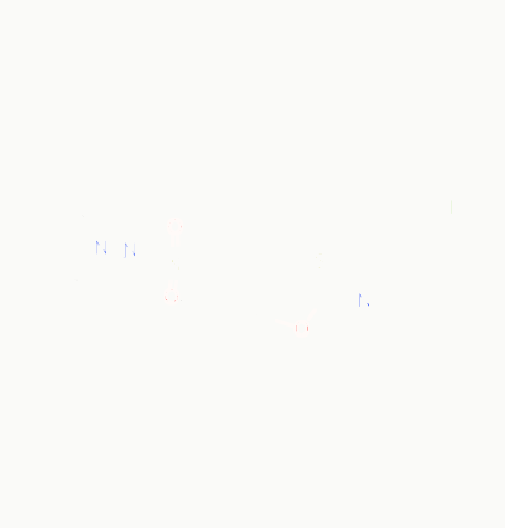 CS(=O)(=O)N1CC2CCC(C1)N2CCc1ccc(Oc2nc3cc(F)ccc3s2)cc1